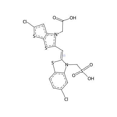 O=C(O)C[n+]1c(/C=C2\Sc3ccc(Cl)cc3N2CS(=O)(=O)O)sc2sc(Cl)cc21